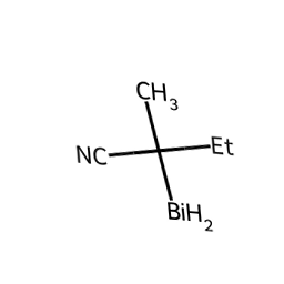 CC[C](C)([BiH2])C#N